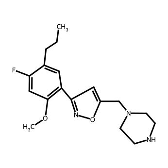 CCCc1cc(-c2cc(CN3CCNCC3)on2)c(OC)cc1F